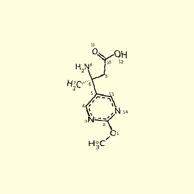 COc1ncc([C@@](C)(N)CC(=O)O)cn1